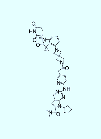 CN(C)C(=O)c1cc2cnc(Nc3ccc(CC(=O)N4CC5(C4)CN(c4cccc6c4C4(CC4)C(=O)N6[C@@H]4CCC(=O)NC4=O)C5)cn3)nc2n1C1CCCC1